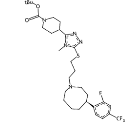 Cn1c(SCCCN2CCCC[C@H](c3ccc(C(F)(F)F)cc3F)CC2)nnc1C1CCN(C(=O)OC(C)(C)C)CC1